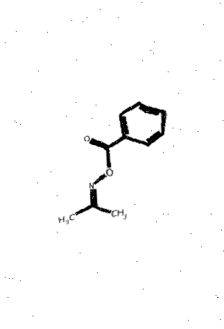 CC(C)=NOC(=O)c1ccccc1